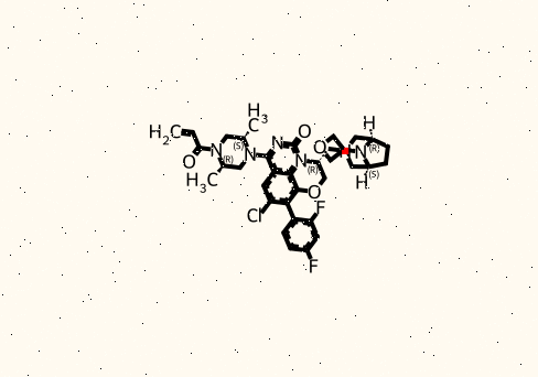 C=CC(=O)N1C[C@H](C)N(c2nc(=O)n3c4c(c(-c5ccc(F)cc5F)c(Cl)cc24)OC[C@H]3CN2C[C@H]3CC[C@@H](C2)N3C2COC2)C[C@H]1C